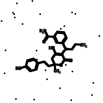 CCCN(C1=C(O)CC(C)(CCc2ccc(O)cc2)OC1=O)c1cccc(C(N)=O)c1